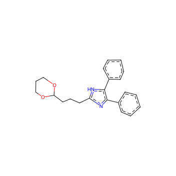 c1ccc(-c2nc(CCCC3OCCCO3)[nH]c2-c2ccccc2)cc1